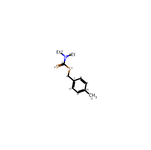 CCN(CC)C(=S)SCc1ccc(C)cc1